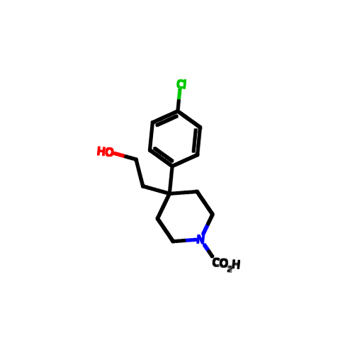 O=C(O)N1CCC(CCO)(c2ccc(Cl)cc2)CC1